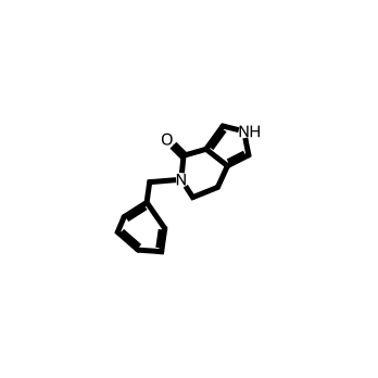 O=C1c2c[nH]cc2CCN1Cc1ccccc1